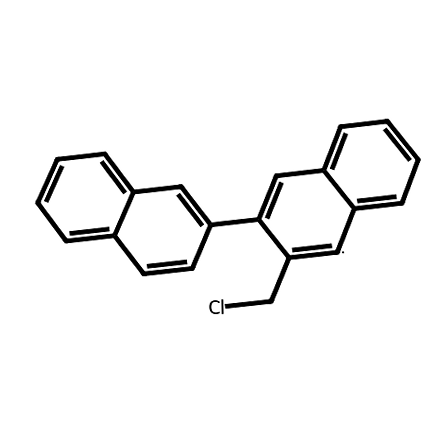 ClCc1[c]c2ccccc2cc1-c1ccc2ccccc2c1